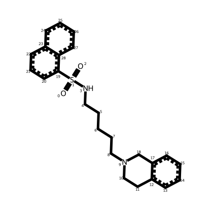 O=S(=O)(NCCCCCN1CCc2ccccc2C1)c1cccc2ccccc12